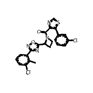 Cc1c(Cl)cccc1-c1noc(C2CCN2C(=O)c2ncsc2-c2cccc(Cl)c2)n1